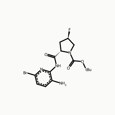 CC(C)(C)OC(=O)N1C[C@H](F)C[C@H]1C(=O)Nc1nc(Br)ccc1N